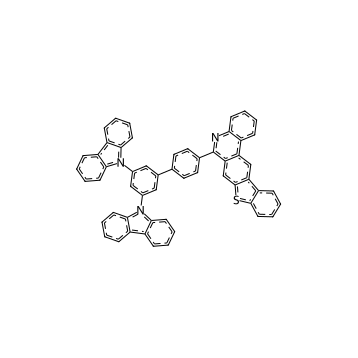 c1ccc2c(c1)nc(-c1ccc(-c3cc(-n4c5ccccc5c5ccccc54)cc(-n4c5ccccc5c5ccccc54)c3)cc1)c1cc3sc4ccccc4c3cc12